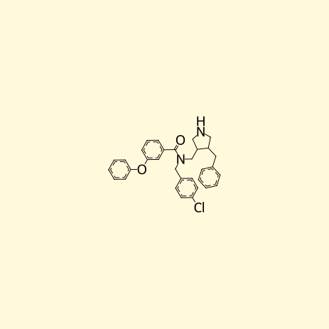 O=C(c1cccc(Oc2ccccc2)c1)N(Cc1ccc(Cl)cc1)CC1CNCC1Cc1ccccc1